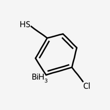 Sc1ccc(Cl)cc1.[BiH3]